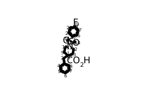 O=C(O)C1(Cc2ccccc2)CCN(S(=O)(=O)c2ccc(F)cc2)CC1